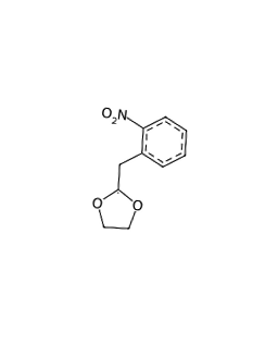 O=[N+]([O-])c1ccccc1C[C]1OCCO1